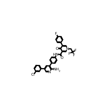 Nc1ncc(-c2cccc(Cl)c2)cc1-c1ccc(NC(=O)c2cn(CC(F)(F)F)cc(-c3ccc(F)cc3)c2=O)cc1